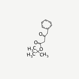 CC(C)(C)OC(=O)CC(=O)Cc1ccccc1